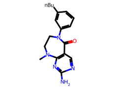 CCCCc1cccc(N2CCN(C)c3nc(N)ncc3C2=O)c1